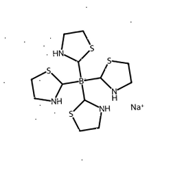 C1CSC([B-](C2NCCS2)(C2NCCS2)C2NCCS2)N1.[Na+]